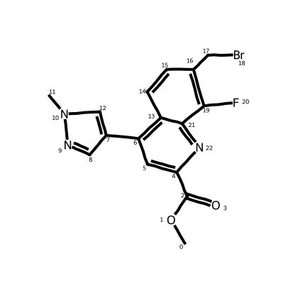 COC(=O)c1cc(-c2cnn(C)c2)c2ccc(CBr)c(F)c2n1